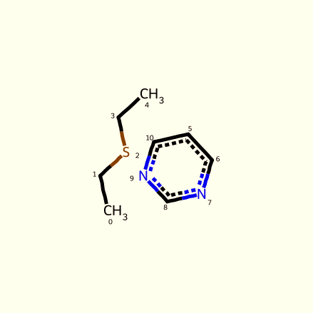 CCSCC.c1cncnc1